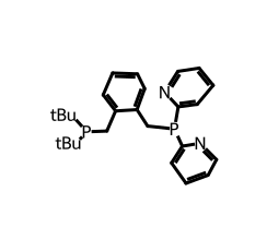 CC(C)(C)P(Cc1ccccc1CP(c1ccccn1)c1ccccn1)C(C)(C)C